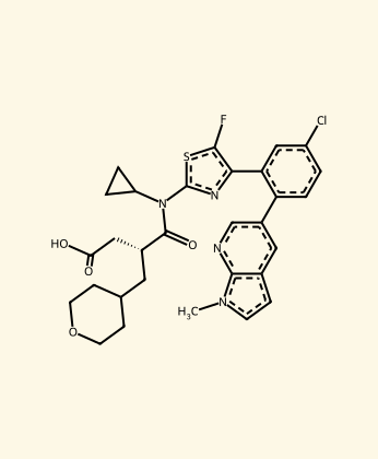 Cn1ccc2cc(-c3ccc(Cl)cc3-c3nc(N(C(=O)[C@@H](CC(=O)O)CC4CCOCC4)C4CC4)sc3F)cnc21